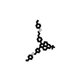 C=Cc1ccc(OCCCc2ccc(-c3cc(-c4ccc(COc5ccc(C=C)cc5)cc4)c4ccc5cc(C(C)(C)C)cc6ccc3c4c65)cc2)cc1